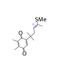 CS/C(C)=C/CC(C)(C)C1=CC(=O)C(C)=C(C)C1=O